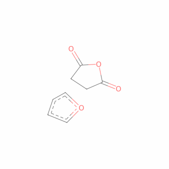 O=C1CCC(=O)O1.c1ccoc1